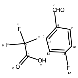 O=C(O)C(F)(F)F.O=Cc1ccc(F)cc1